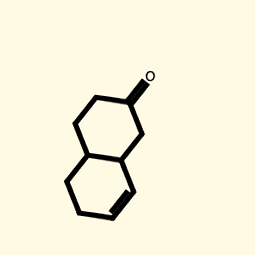 O=C1CCC2CCC=CC2C1